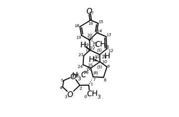 CC(C1OCCO1)[C@H]1CC[C@H]2[C@@H]3C=CC4=CC(=O)C=C[C@]4(C)[C@H]3CC[C@]12C